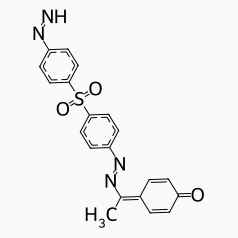 CC(N=Nc1ccc(S(=O)(=O)c2ccc(N=N)cc2)cc1)=C1C=CC(=O)C=C1